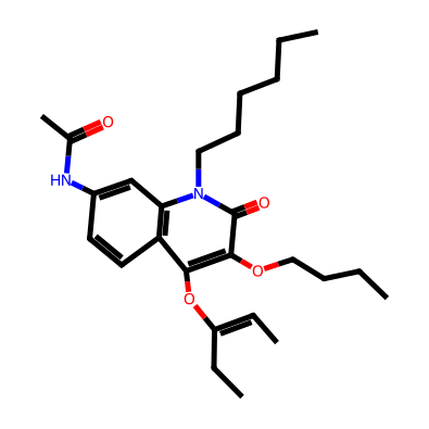 CC=C(CC)Oc1c(OCCCC)c(=O)n(CCCCCC)c2cc(NC(C)=O)ccc12